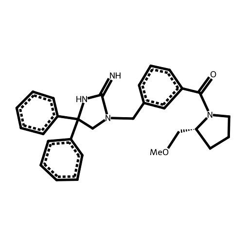 COC[C@H]1CCCN1C(=O)c1cccc(CN2CC(c3ccccc3)(c3ccccc3)NC2=N)c1